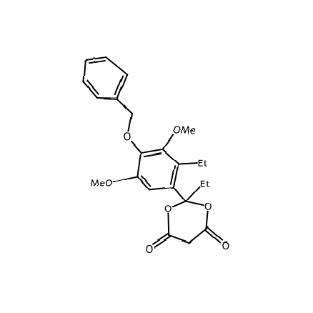 CCc1c(C2(CC)OC(=O)CC(=O)O2)cc(OC)c(OCc2ccccc2)c1OC